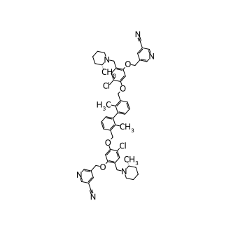 Cc1c(COc2cc(OCc3cncc(C#N)c3)c(CN3CCCC[C@H]3C)cc2Cl)cccc1-c1cccc(COc2cc(OCc3cncc(C#N)c3)c(CN3CCCC[C@H]3C)cc2Cl)c1C